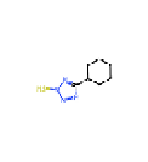 Sn1nnc(C2CCCCC2)n1